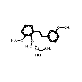 CCN.COc1cccc(CCc2cccc(OC)c2OC)c1.Cl